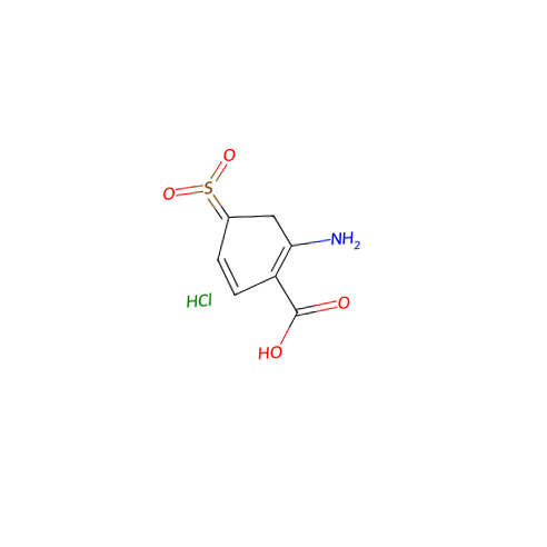 Cl.NC1=C(C(=O)O)C=CC(=S(=O)=O)C1